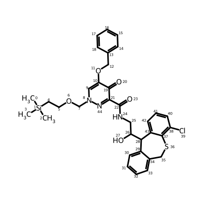 C[Si](C)(C)CCOCn1cc(OCc2ccccc2)c(=O)c(C(=O)NCC(O)C2c3ccccc3CSc3c(Cl)cccc32)n1